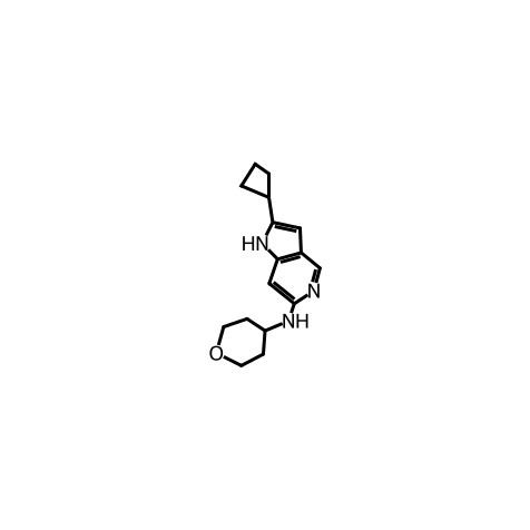 c1nc(NC2CCOCC2)cc2[nH]c(C3CCC3)cc12